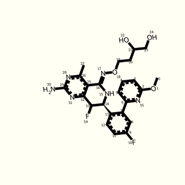 COc1cccc(-c2cc(F)ccc2[C@@H]2N/C(=N\OCCC(O)CO)c3c(C)nc(N)nc3C2F)n1